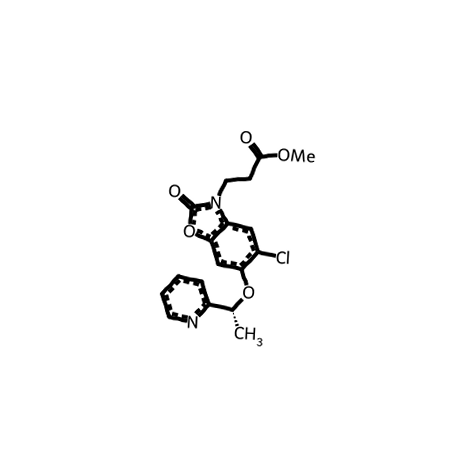 COC(=O)CCn1c(=O)oc2cc(O[C@H](C)c3ccccn3)c(Cl)cc21